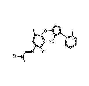 CCN(C)C=Nc1cc(C)c(Oc2snc(-c3ccccc3C)c2C#N)cc1Cl